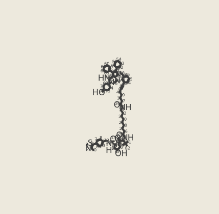 Cc1ncsc1-c1ccc(CNC(=O)[C@@H]2C[C@@H](O)CN2C(=O)[C@@H](NC(=O)CCCCCCCCNC(=O)CCCCC#Cc2cccc(Cn3c(-c4ccccc4)c(-c4ccccc4)c4c(=N)n(C5CCC(O)CC5)cnc43)c2)C(C)(C)C)cc1